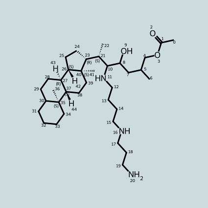 CC(=O)OCC(C)CC(O)C(NCCCCNCCCN)[C@@H](C)[C@H]1CC[C@H]2[C@@H]3CCC4CCCC[C@]4(C)[C@H]3CC[C@]12C